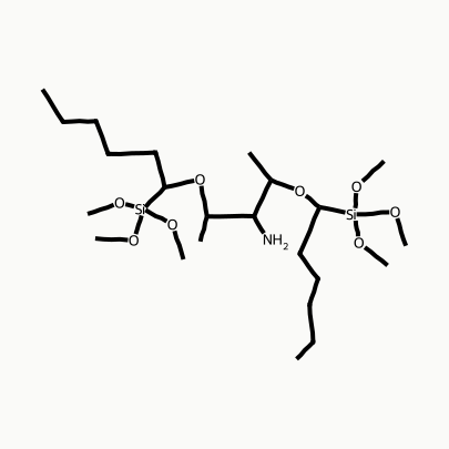 CCCCCC(OC(C)C(N)C(C)OC(CCCCC)[Si](OC)(OC)OC)[Si](OC)(OC)OC